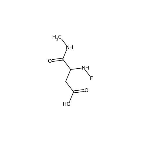 CNC(=O)C(CC(=O)O)NF